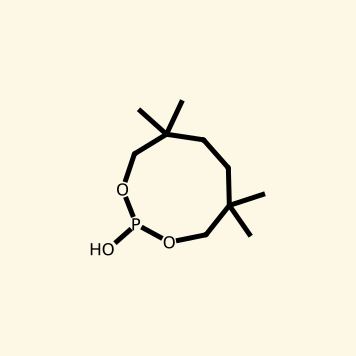 CC1(C)CCC(C)(C)COP(O)OC1